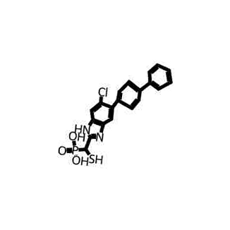 O=P(O)(O)C(S)c1nc2cc(-c3ccc(-c4ccccc4)cc3)c(Cl)cc2[nH]1